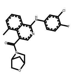 Cc1cccc2c(Nc3ccc(F)c(Cl)c3)ncc(C(=O)N3CC4CC3CO4)c12